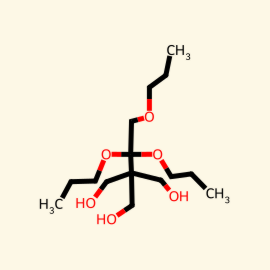 CCCOCC(OCCC)(OCCC)C(CO)(CO)CO